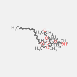 CCCCCCCC/C=C\CCCCCCCC(=O)OC(C)(C)CCOC(C)(C)CC(C(OCC)C(CC)C(C)(C)OCCC(C)(C)O)C(C)(C)OCCC(C)(C)O